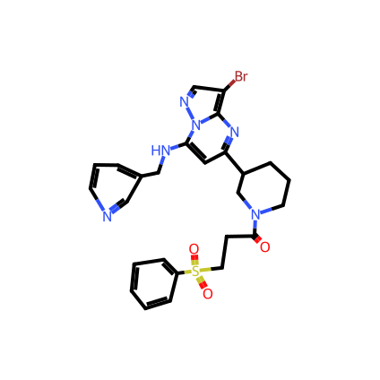 O=C(CCS(=O)(=O)c1ccccc1)N1CCCC(c2cc(NCc3cccnc3)n3ncc(Br)c3n2)C1